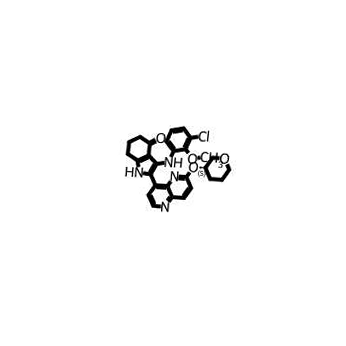 COc1c(Cl)cccc1Nc1c(-c2ccnc3ccc(O[C@H]4CCCOC4)nc23)[nH]c2c1C(=O)CCC2